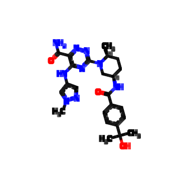 C[C@H]1CC[C@@H](NC(=O)c2ccc(C(C)(C)O)cc2)CN1c1nnc(C(N)=O)c(Nc2cnn(C)c2)n1